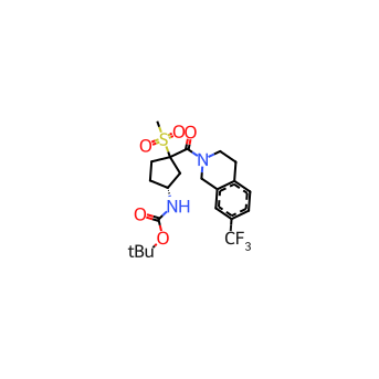 CC(C)(C)OC(=O)N[C@@H]1CCC(C(=O)N2CCc3ccc(C(F)(F)F)cc3C2)(S(C)(=O)=O)C1